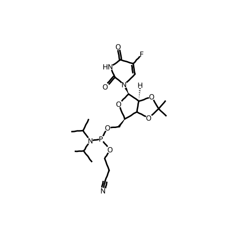 CC(C)N(C(C)C)P(OCCC#N)OC[C@H]1O[C@@H](n2cc(F)c(=O)[nH]c2=O)[C@H]2OC(C)(C)OC12